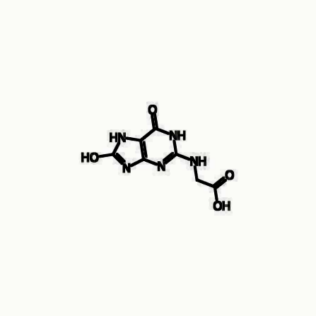 O=C(O)CNc1nc2nc(O)[nH]c2c(=O)[nH]1